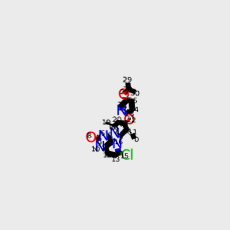 CC[C@@H]1CN(c2nc(=O)n(C)c3ccc(Cl)nc23)[C@@H](C)C[C@H]1Oc1ccc(OC(C)C)cn1